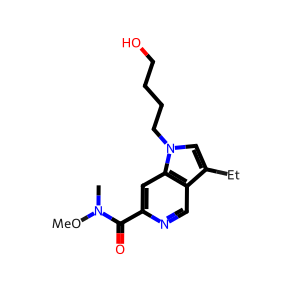 CCc1cn(CCCCO)c2cc(C(=O)N(C)OC)ncc12